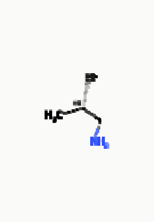 C[CH][C@@H](C)CN